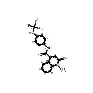 Cn1c(=O)cc(C(=O)Nc2ccc(OC(F)(F)F)cc2)c2ccccc21